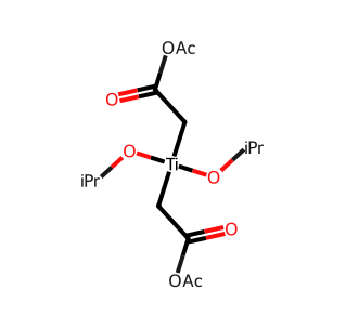 CC(=O)OC(=O)[CH2][Ti]([CH2]C(=O)OC(C)=O)([O]C(C)C)[O]C(C)C